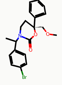 COC[C@@]1(c2ccccc2)CCN(C(C)c2ccc(Br)cc2)C(=O)O1